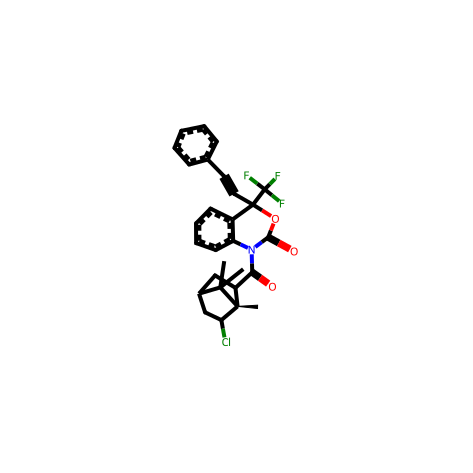 CC1(C)C2CC(Cl)[C@@]1(C)C(C(=O)N1C(=O)OC(C#Cc3ccccc3)(C(F)(F)F)c3ccccc31)C2